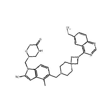 Cc1c(CN2CCC3(CC2)CN(c2ncnc4ccc(CC(F)(F)F)cc24)C3)ccc2c1cc(C#N)n2CC1CNC(=O)CO1